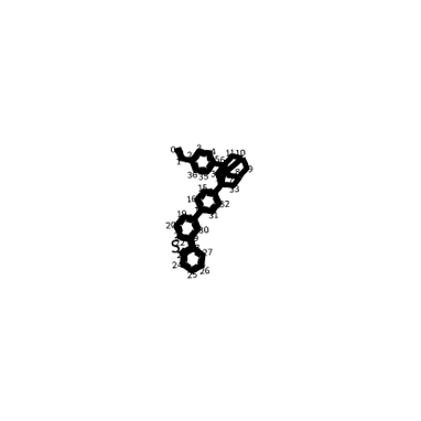 C=Cc1ccc(C23CC4CC(C2)CC(c2ccc(-c5ccc6sc7ccccc7c6c5)cc2)(C4)C3)cc1